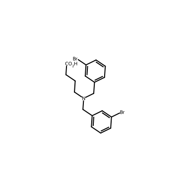 O=C(O)CCCN(Cc1cccc(Br)c1)Cc1cccc(Br)c1